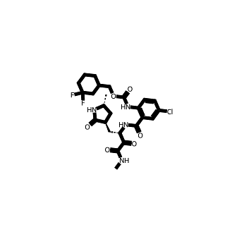 CNC(=O)C(=O)[C@H](C[C@@H]1C[C@@H](C)NC1=O)NC(=O)c1cc(Cl)ccc1NC(=O)OCC1CCCC(F)(F)C1